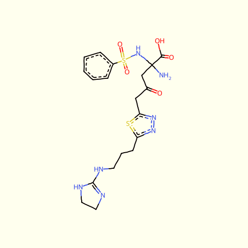 NC(CC(=O)Cc1nnc(CCCNC2=NCCN2)s1)(NS(=O)(=O)c1ccccc1)C(=O)O